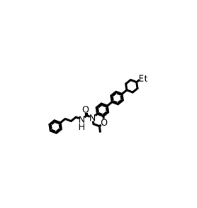 CCC1CCC(c2ccc(-c3ccc4c(c3)OC(C)CN4C(=O)NCCCc3ccccc3)cc2)CC1